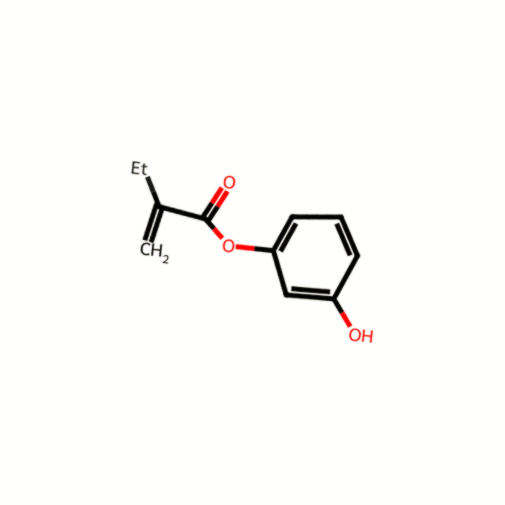 C=C(CC)C(=O)Oc1cccc(O)c1